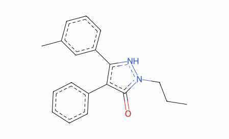 CCCn1[nH]c(-c2cccc(C)c2)c(-c2ccccc2)c1=O